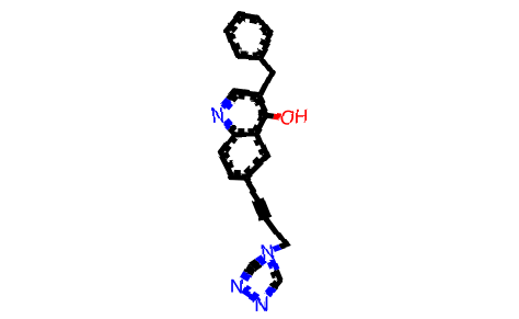 Oc1c(Cc2ccccc2)cnc2ccc(C#CCn3cnnc3)cc12